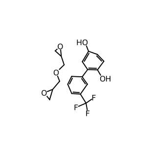 C(OCC1CO1)C1CO1.Oc1ccc(O)c(-c2cccc(C(F)(F)F)c2)c1